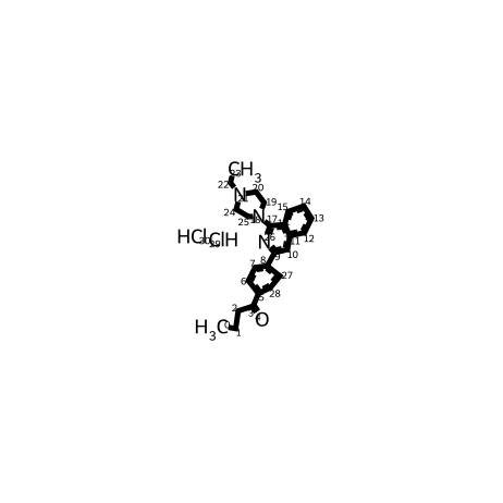 CCCC(=O)c1ccc(-c2cc3ccccc3c(N3CCN(CC)CC3)n2)cc1.Cl.Cl